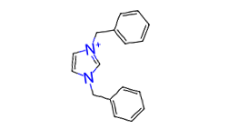 c1ccc(Cn2cc[n+](Cc3ccccc3)c2)cc1